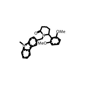 COc1cccc(OC)c1C1CCCC(=O)N1Cc1ccc2c(c1)c1ccccc1n2C